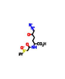 CC(C)[S+]([O-])CC(=O)NC(CCC(=O)C=[N+]=[N-])C(=O)O